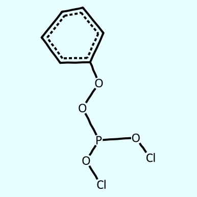 ClOP(OCl)OOc1ccccc1